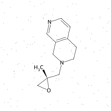 C[C@]1(CN2CCc3ccncc3C2)CO1